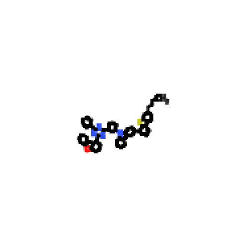 CCCCc1ccc2c(c1)sc1c(-c3ccc4c(c3)c3ccccc3n4-c3cccc(-c4nc(-c5ccccc5)nc(-c5cccc6oc7ccccc7c56)n4)c3)cccc12